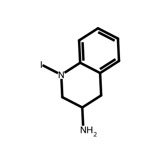 NC1Cc2ccccc2N(I)C1